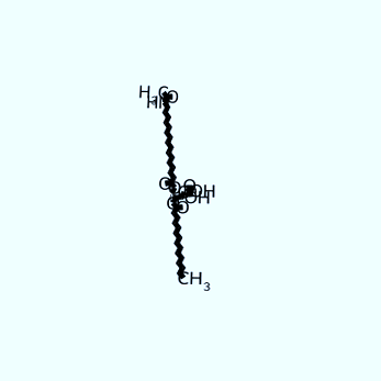 CCCCCCCCCCCCCCC(=O)O[C@H](COC(=O)CCCCCCCCCCCCCCCNC(C)=O)COP(=O)(O)O